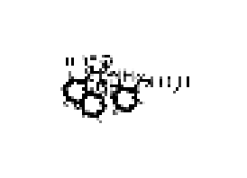 CCCC(c1cccc2ccccc12)P(=O)(O)Nc1ccccc1CC(=O)O